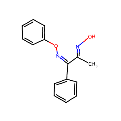 CC(=NO)C(=NOc1ccccc1)c1ccccc1